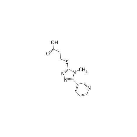 Cn1c(SCCC(=O)O)nnc1-c1cccnc1